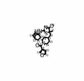 CC1(CC2CCN(C(=O)c3ccoc3)CC2)SC(NC23CCC(CC2)C3)=NC1=O